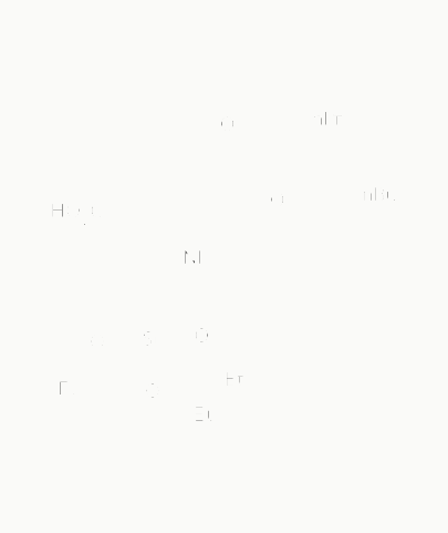 CCCCC(CCC)OC(=O)C(CC(=O)O)NC[Si](OCC)(OCC)OCC